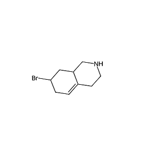 BrC1CC=C2CCNCC2C1